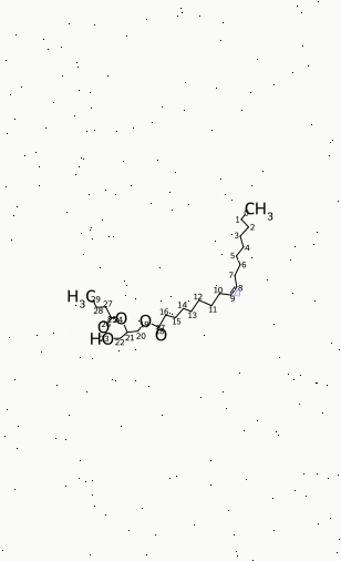 CCCCCCCC/C=C\CCCCCCCC(=O)OCC(CO)OC(=O)CCC